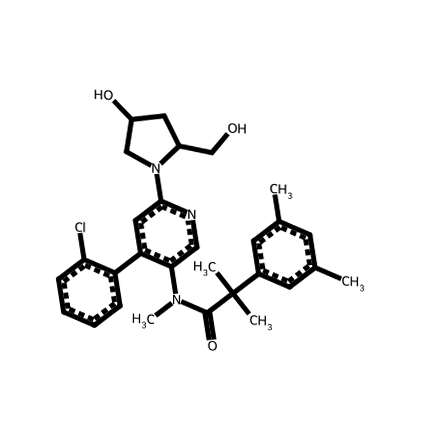 Cc1cc(C)cc(C(C)(C)C(=O)N(C)c2cnc(N3CC(O)CC3CO)cc2-c2ccccc2Cl)c1